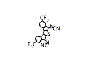 N#C/N=c1/c2cc(C(F)(F)F)ccc2c2c1sc1/c(=N/C#N)c3cc(C(F)(F)F)ccc3c12